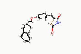 O=C1NC(=O)C(=Cc2ccc(OCCc3ccc4ccccc4c3)cc2)S1